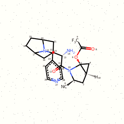 N#C[C@@H]1C[C@@H]2C[C@@]2(OC(=O)C(F)(F)F)N1C(=O)[C@@H](N)C1CC2CCC(C1)N2Cc1ccncc1